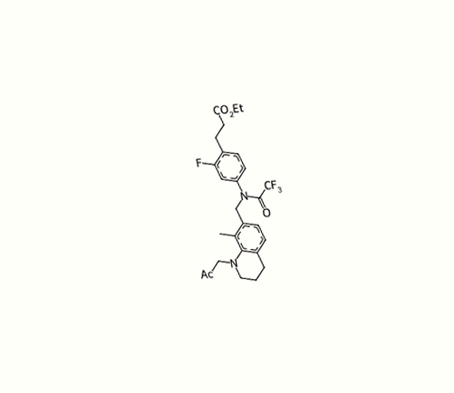 CCOC(=O)CCc1ccc(N(Cc2ccc3c(c2C)N(CC(C)=O)CCC3)C(=O)C(F)(F)F)cc1F